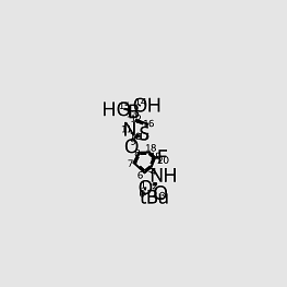 CC(C)(C)OC(=O)Nc1ccc(Oc2nc(B(O)O)cs2)cc1F